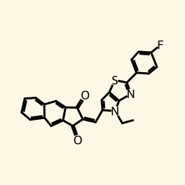 CCn1c(C=C2C(=O)c3cc4ccccc4cc3C2=O)cc2sc(-c3ccc(F)cc3)nc21